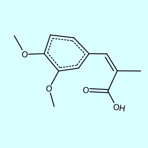 COc1ccc(C=C(C)C(=O)O)cc1OC